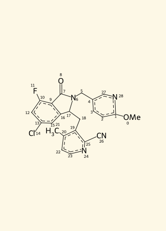 COc1ccc(CN2C(=O)c3c(F)cc(Cl)cc3C2Cc2c(C)ccnc2C#N)cn1